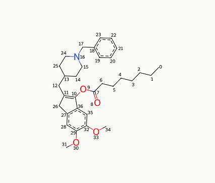 CCCCCCCC(=O)OC1=C(CC2CCN(Cc3ccccc3)CC2)Cc2cc(OC)c(OC)cc21